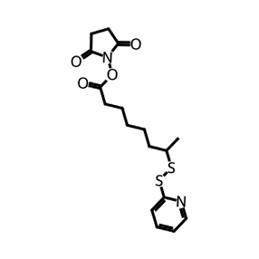 CC(CCCCCC(=O)ON1C(=O)CCC1=O)SSc1ccccn1